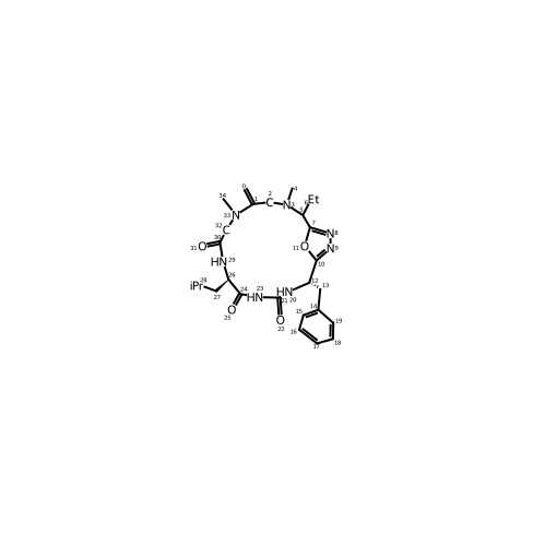 C=C1CN(C)C(CC)c2nnc(o2)[C@H](Cc2ccccc2)NC(=O)NC(=O)[C@@H](CC(C)C)NC(=O)CN1C